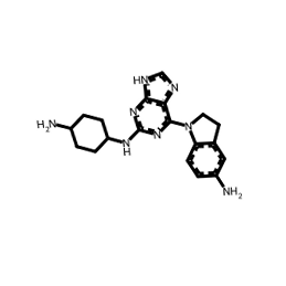 Nc1ccc2c(c1)CCN2c1nc(NC2CCC(N)CC2)nc2[nH]cnc12